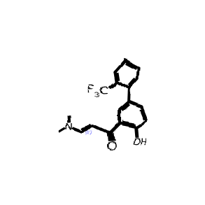 CN(C)/C=C/C(=O)c1cc(-c2ccccc2C(F)(F)F)ccc1O